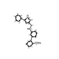 COc1ccccc1-c1cccc(NCc2cc(-c3ccccc3)[nH]n2)c1